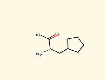 CCC(=O)[C@@H](C)CC1CCCC1